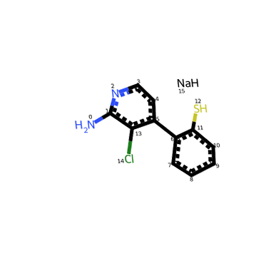 Nc1nccc(-c2ccccc2S)c1Cl.[NaH]